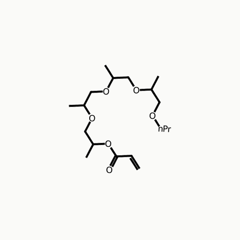 C=CC(=O)OC(C)COC(C)COC(C)COC(C)COCCC